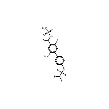 Cc1cc(C(=O)NS(C)(=O)=O)c(F)cc1-c1ccc(OC(F)(F)C(F)F)cc1